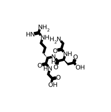 N=C(N)NCCC[C@H](NC(=O)[C@H](CC(=O)O)NC(=O)CN)C(=O)NCC(=O)O